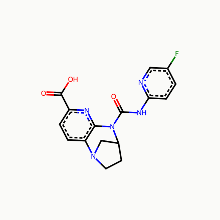 O=C(O)c1ccc2c(n1)N(C(=O)Nc1ccc(F)cn1)C1CCN2C1